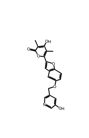 Cc1c(-c2cc3cc(OCc4cncc(O)c4)ccc3o2)oc(=O)c(C)c1O